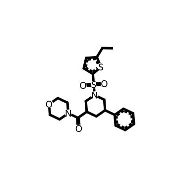 CCc1ccc(S(=O)(=O)N2CC(C(=O)N3CCOCC3)CC(c3ccccc3)C2)s1